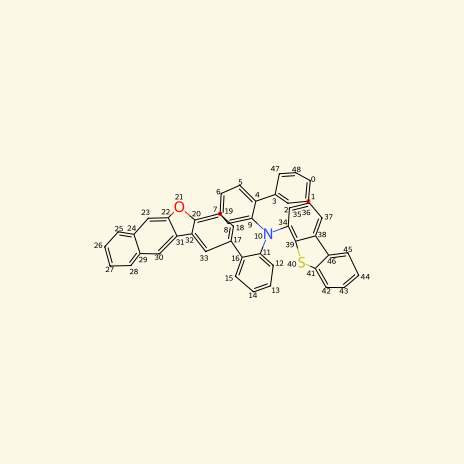 c1ccc(-c2ccccc2N(c2ccccc2-c2ccc3oc4cc5ccccc5cc4c3c2)c2cccc3c2sc2ccccc23)cc1